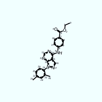 CCOC(=O)c1ccc(Nc2ncnc3c2cnn3-c2ccc(C)cc2C)cc1